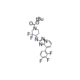 CC(C)(C)OC(=O)N1CC/C(=N\c2nc3c(-c4ccc(F)c(F)c4F)cccn3n2)C(F)(F)C1